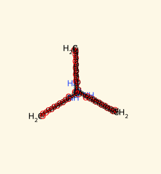 C=CC(=O)OCCOCCOCCOCCOCCOCCOCCOCCOCCOC(=O)NCCCCCCn1c(=O)n(CCCCCCNC(=O)OCCOCCOCCOCCOCCOCCOCCOCCOCCOC(=O)C=C)c(=O)n(CCCCCCNC(=O)OCCOCCOCCOCCOCCOCCOCCOCCOCCOC(=O)C=C)c1=O